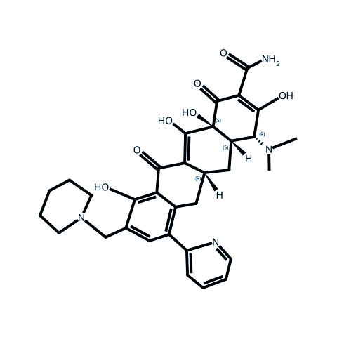 CN(C)[C@H]1C(O)=C(C(N)=O)C(=O)[C@@]2(O)C(O)=C3C(=O)c4c(O)c(CN5CCCCC5)cc(-c5ccccn5)c4C[C@H]3C[C@@H]12